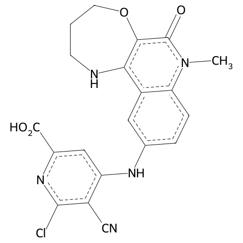 Cn1c(=O)c2c(c3cc(Nc4cc(C(=O)O)nc(Cl)c4C#N)ccc31)NCCCO2